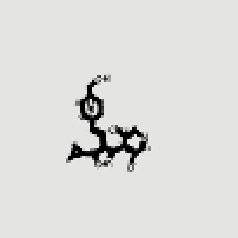 OCC12CCC(/C=C/c3c(-c4c(Cl)cncc4Cl)noc3C3CC3)(CC1)CO2